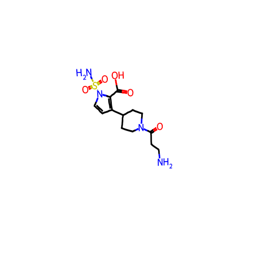 NCCC(=O)N1CCC(c2ccn(S(N)(=O)=O)c2C(=O)O)CC1